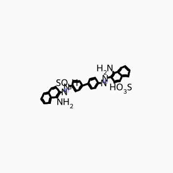 Nc1c(/N=N/c2ccc(-c3ccc(/N=N/c4c(S(=O)(=O)O)cc5ccccc5c4N)cc3)cc2)c(S(=O)(=O)O)cc2ccccc12